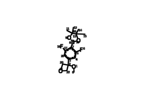 COC1(c2cc(F)c(B3OC(C)(C)C(C)(C)O3)c(F)c2)COC1